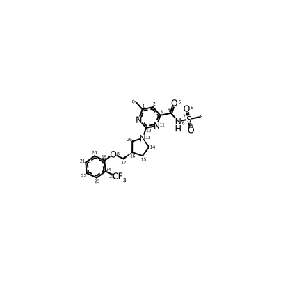 Cc1cc(C(=O)NS(C)(=O)=O)nc(N2CC[C@@H](COc3ccccc3C(F)(F)F)C2)n1